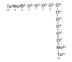 [Mo+6].[Mo+6].[O-2].[O-2].[O-2].[O-2].[O-2].[O-2].[O-2].[O-2].[O-2].[O-2].[O-2].[Ta+5].[Ta+5]